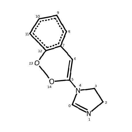 C1=NCCN1C1=Cc2ccccc2OO1